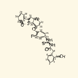 C#Cc1ccccc1CC(=O)NC(=S)Nc1ccc(Oc2ccnc3cc(-c4cccc[n+]4[O-])sc23)c(F)c1